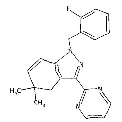 CC1(C)C=Cc2c(c(-c3ncccn3)nn2Cc2ccccc2F)C1